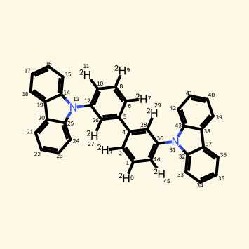 [2H]c1c([2H])c(-c2c([2H])c([2H])c([2H])c(-n3c4ccccc4c4ccccc43)c2[2H])c([2H])c(-n2c3ccccc3c3ccccc32)c1[2H]